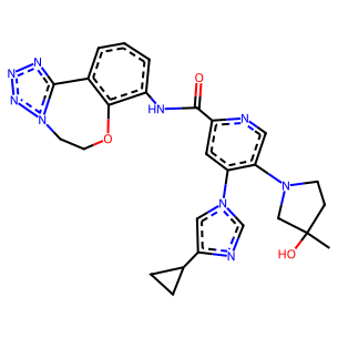 CC1(O)CCN(c2cnc(C(=O)Nc3cccc4c3OCCn3nnnc3-4)cc2-n2cnc(C3CC3)c2)C1